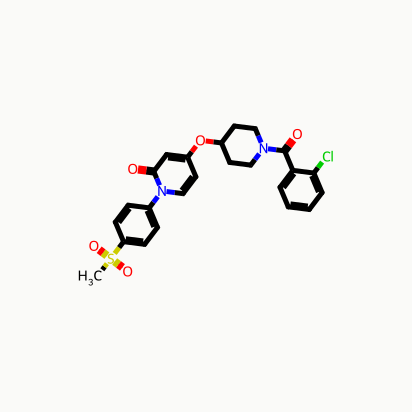 CS(=O)(=O)c1ccc(-n2ccc(OC3CCN(C(=O)c4ccccc4Cl)CC3)cc2=O)cc1